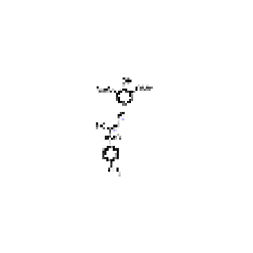 COc1cc(/C=C/C=C(\C#N)S(=O)(=O)c2ccc(C)cc2)cc(OC)c1O